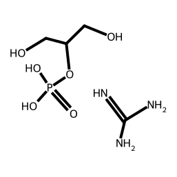 N=C(N)N.O=P(O)(O)OC(CO)CO